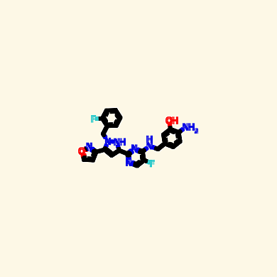 Nc1ccc(CNc2nc(C3C=C(c4ccon4)N(Cc4ccccc4F)N3)ncc2F)cc1O